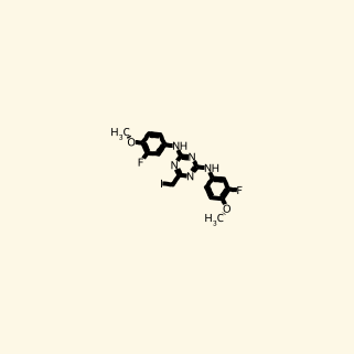 COc1ccc(Nc2nc(CI)nc(Nc3ccc(OC)c(F)c3)n2)cc1F